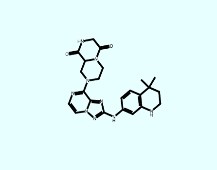 CC1(C)CCNc2cc(Nc3nc4c(N5CCN6C(=O)CNC(=O)C6C5)nccn4n3)ccc21